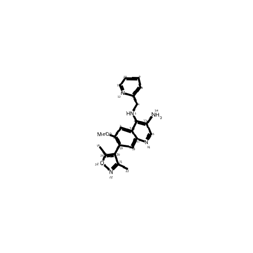 COc1cc2c(NCc3ccccn3)c(N)cnc2cc1-c1c(C)noc1C